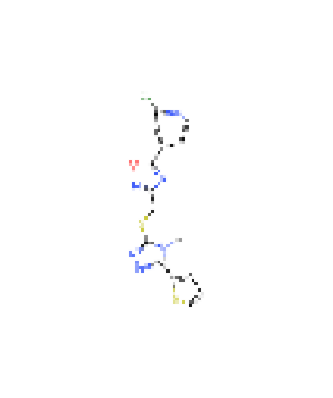 Cn1c(SCc2noc(-c3ccnc(Cl)c3)n2)nnc1-c1cccs1